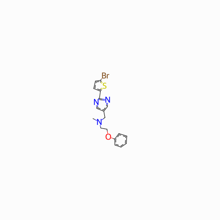 CN(CCOc1ccccc1)Cc1cnc(-c2ccc(Br)s2)nc1